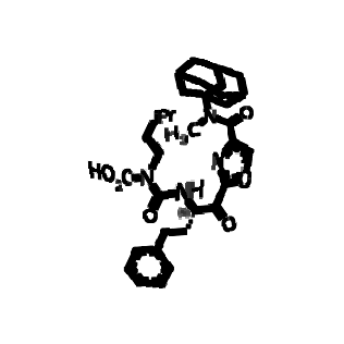 CC(C)CCN(C(=O)O)C(=O)N[C@@H](CCc1ccccc1)C(=O)c1nc(C(=O)N(C)C23CC4CC(CC(C4)C2)C3)co1